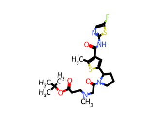 Cc1sc(C2CCCN2C(=O)CN(C)CCC(=O)OC(C)(C)C)cc1C(=O)Nc1ncc(F)s1